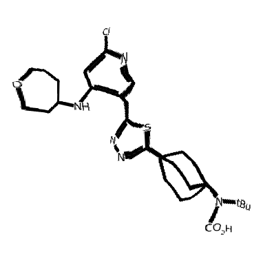 CC(C)(C)N(C(=O)O)C12CCC(c3nnc(-c4cnc(Cl)cc4NC4CCOCC4)s3)(CC1)CC2